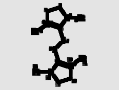 CCN1CC[N+](CC)=C1SSC1=[N+](CC)CCN1CC